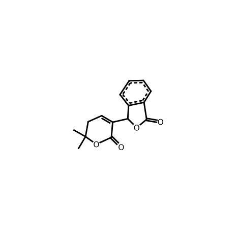 CC1(C)CC=C(C2OC(=O)c3ccccc32)C(=O)O1